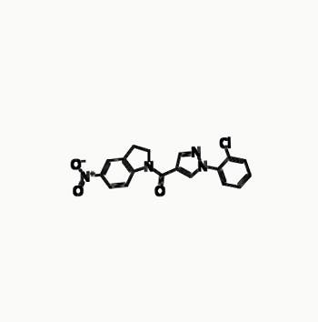 O=C(c1cnn(-c2ccccc2Cl)c1)N1CCc2cc([N+](=O)[O-])ccc21